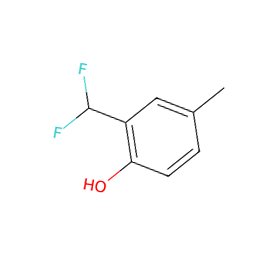 Cc1ccc(O)c(C(F)F)c1